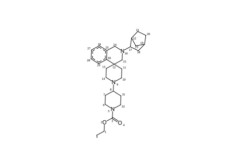 CCOC(=O)N1CCC(N2CCC3(CC2)CN(C2CC4CCC2C4)Cc2ccccc23)CC1